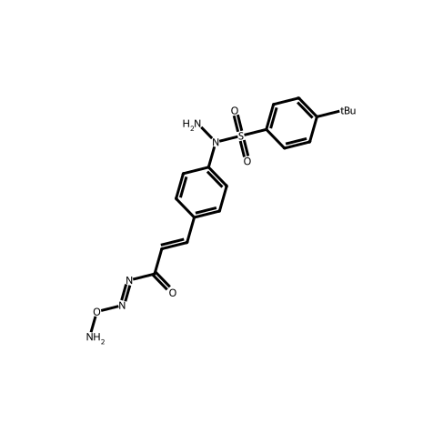 CC(C)(C)c1ccc(S(=O)(=O)N(N)c2ccc(/C=C/C(=O)N=NON)cc2)cc1